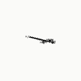 CCCCCCCCCCCCCCCCCCCC(CC(=O)OC[C@H]1O[C@@H](n2ccc(=O)[nH]c2=O)[C@H](O)[C@@H]1O)OP(=O)(O)O